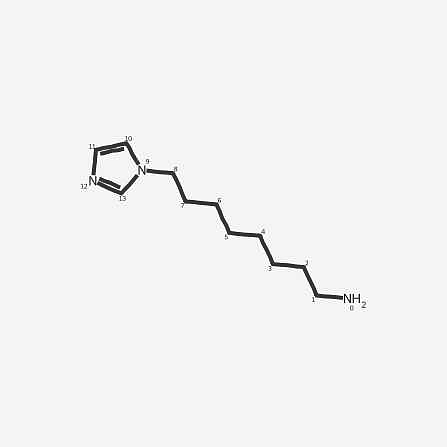 NCCCCCCCCn1ccnc1